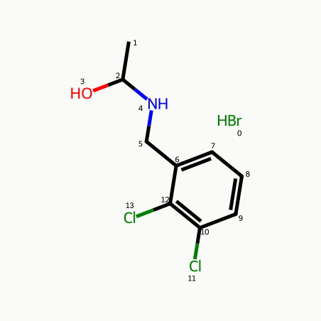 Br.CC(O)NCc1cccc(Cl)c1Cl